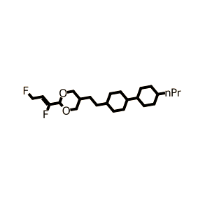 CCCC1CCC(C2CCC(CCC3COC(/C(F)=C/CF)OC3)CC2)CC1